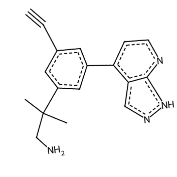 C#Cc1cc(-c2ccnc3[nH]ncc23)cc(C(C)(C)CN)c1